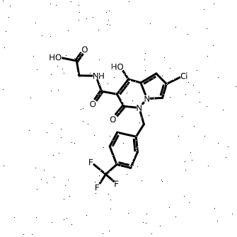 O=C(O)CNC(=O)c1c(O)c2cc(Cl)cn2n(Cc2ccc(C(F)(F)F)cc2)c1=O